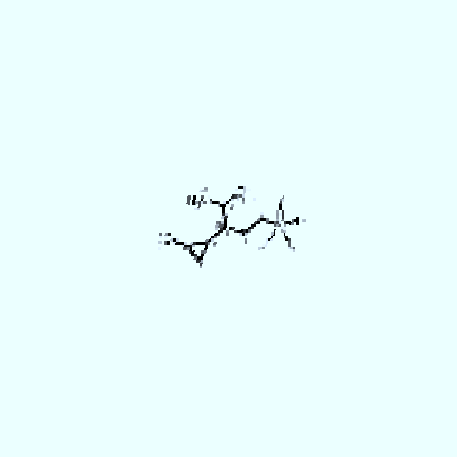 CC1CC1[C@H](CC[SH](I)(I)(I)I)C(C)C